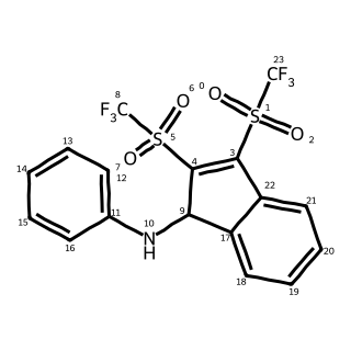 O=S(=O)(C1=C(S(=O)(=O)C(F)(F)F)C(Nc2ccccc2)c2ccccc21)C(F)(F)F